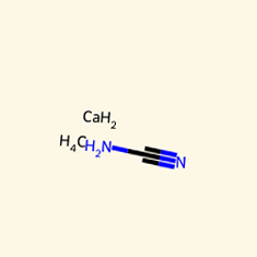 C.N#CN.[CaH2]